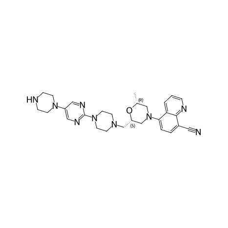 C[C@@H]1CN(c2ccc(C#N)c3ncccc23)C[C@H](CN2CCN(c3ncc(N4CCNCC4)cn3)CC2)O1